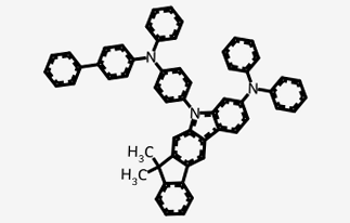 CC1(C)c2ccccc2-c2cc3c4ccc(N(c5ccccc5)c5ccccc5)cc4n(-c4ccc(N(c5ccccc5)c5ccc(-c6ccccc6)cc5)cc4)c3cc21